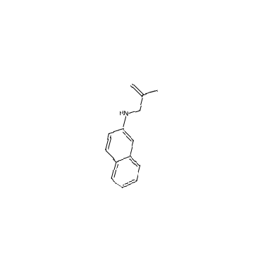 C=C(C)CNc1ccc2ccccc2c1